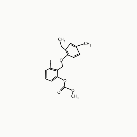 CCc1cc(C)ccc1OCc1c(I)cccc1OC(=O)OC